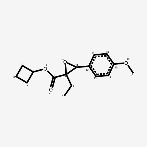 CCC1(C(=O)OC2CCC2)OC1c1ccc(OC)cc1